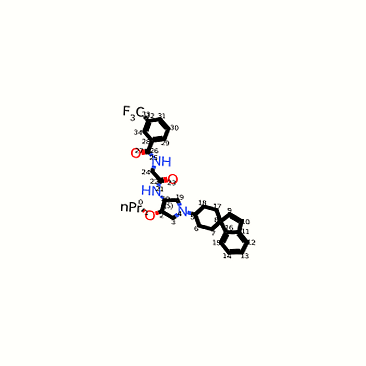 CCCOC1CN(C2CCC3(C=Cc4ccccc43)CC2)C[C@@H]1NC(=O)CNC(=O)c1cccc(C(F)(F)F)c1